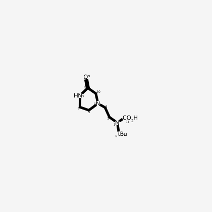 CC(C)(C)N(CCN1CCNC(=O)C1)C(=O)O